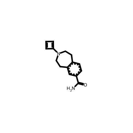 NC(=O)c1ccc2c(c1)CCN(C1=CC=C1)CC2